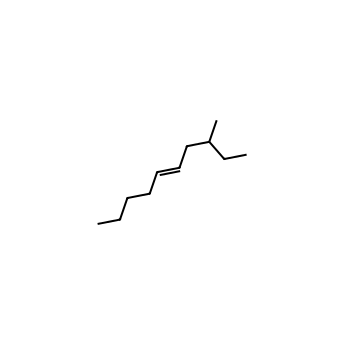 CCCC/C=C/CC(C)CC